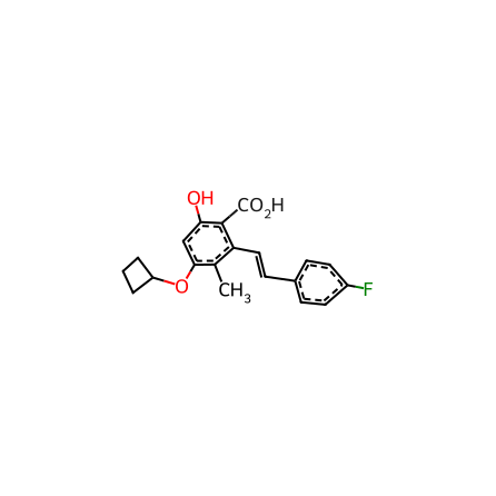 Cc1c(OC2CCC2)cc(O)c(C(=O)O)c1C=Cc1ccc(F)cc1